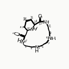 O=C1NCCNCCNCCNC(=O)C2CCCC1N2